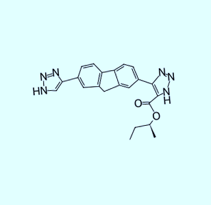 CC[C@H](C)OC(=O)c1[nH]nnc1-c1ccc2c(c1)Cc1cc(-c3c[nH]nn3)ccc1-2